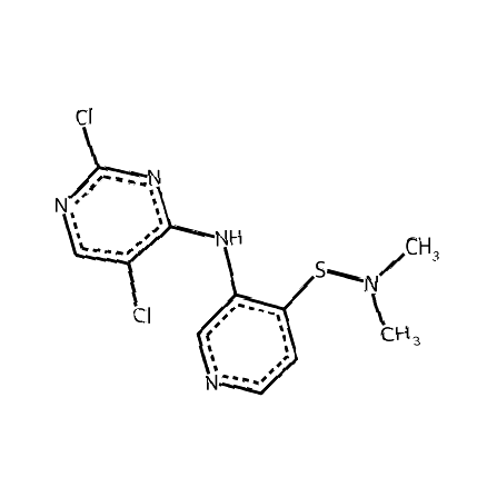 CN(C)Sc1ccncc1Nc1nc(Cl)ncc1Cl